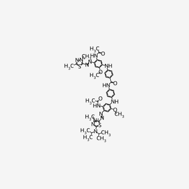 COc1cc(N=Nc2sc(C)n[n+]2C)c(NC(C)=O)cc1Nc1ccc(C(=O)Nc2ccc(Nc3cc(NC(C)=O)c(N=Nc4sc(N(C(C)C)C(C)C)n[n+]4C)cc3OC)cc2)cc1